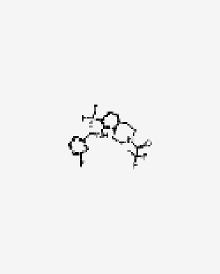 O=C(N1CCc2ccc(C(F)(F)F)c(NCc3cccc(F)c3)c2CC1)C(F)(F)F